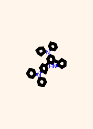 c1ccc(N(c2ccccc2)c2ccc(-c3cc(N(c4ccccc4)c4ccccc4)cc4c3[nH]c3ccccc34)cc2)cc1